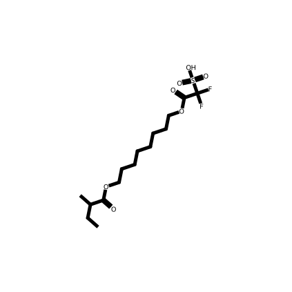 CCC(C)C(=O)OCCCCCCCCOC(=O)C(F)(F)S(=O)(=O)O